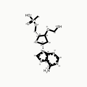 CP(=O)(O)OC[C@H]1O[C@@H](n2cnc3c(N)ncnc32)CC1OCS